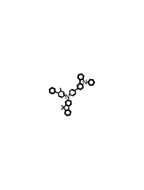 CC1C=C(N(c2ccc3c(c2)C(C)(C)c2ccccc2-3)C2C=CC(c3ccc4c(c3)c3ccccc3n4-c3ccccc3)=CC2)C=CC1c1ccccc1